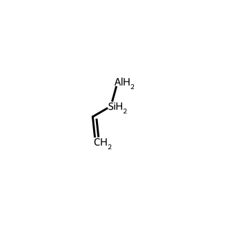 C=C[SiH2][AlH2]